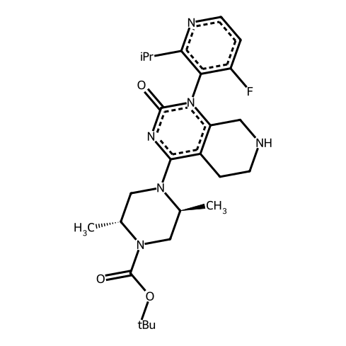 CC(C)c1nccc(F)c1-n1c2c(c(N3C[C@@H](C)N(C(=O)OC(C)(C)C)C[C@@H]3C)nc1=O)CCNC2